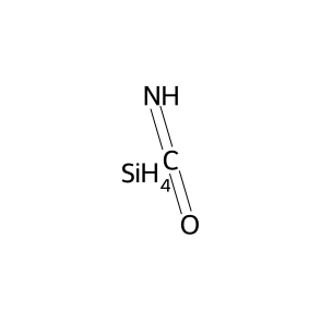 N=C=O.[SiH4]